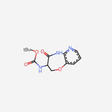 CC(C)(C)OC(=O)NC1COc2cccnc2NC1=O